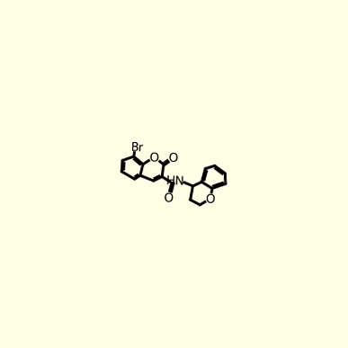 O=C(NC1CCOc2ccccc21)c1cc2cccc(Br)c2oc1=O